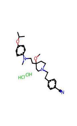 COC1(CCN(C)c2ccc(OC(C)C)cc2)CCN(CCc2ccc(C#N)cc2)CC1.Cl.Cl